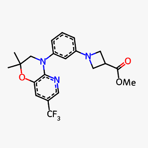 COC(=O)C1CN(c2cccc(N3CC(C)(C)Oc4cc(C(F)(F)F)cnc43)c2)C1